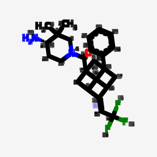 CC1(C)CN(C(=O)C23CC4/C(=C/C(F)(F)F)C5CC(c6ccccc6)(C2)C453)CC[C@@H]1N